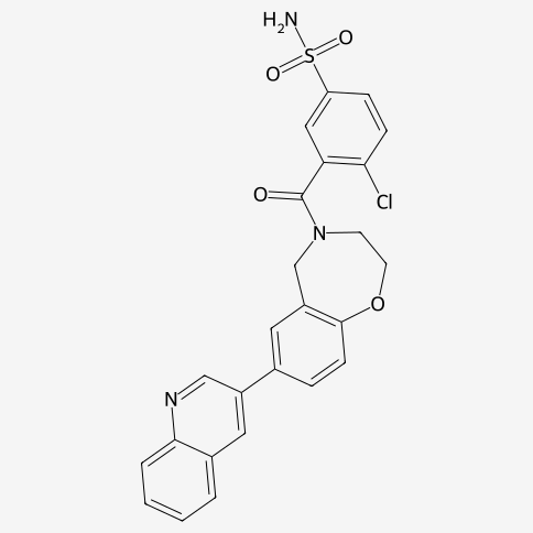 NS(=O)(=O)c1ccc(Cl)c(C(=O)N2CCOc3ccc(-c4cnc5ccccc5c4)cc3C2)c1